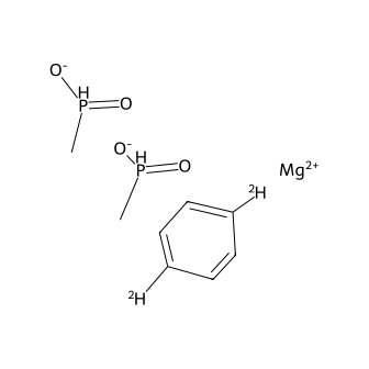 C[PH](=O)[O-].C[PH](=O)[O-].[2H]c1ccc([2H])cc1.[Mg+2]